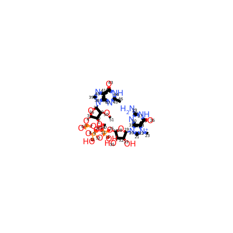 COC1[C@@H](OP(=O)(O)OP(=O)(O)OP(=O)(O)O[C@H]2O[C@@H](n3c[n+](C)c4c(=O)[nH]c(N)nc43)C(O)[C@H]2O)O[C@@H](n2cnc3c(=O)[nH]c(C)nc32)[C@H]1OC